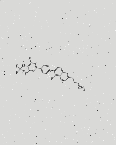 C=CCCc1ccc2c(F)c(-c3ccc(-c4cc(F)c(OC(F)(F)F)c(F)c4)cc3)ccc2c1